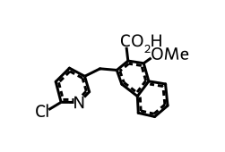 COc1c(C(=O)O)c(Cc2ccc(Cl)nc2)cc2ccccc12